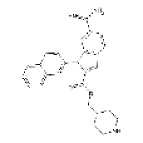 N=C(N)c1ccc2cc(C(=O)NCC3CCNCC3)n(-c3ccc4ccccc4c3)c2c1